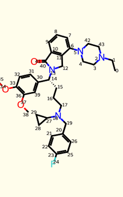 CCN1CCN(c2cccc3c2CN([C@H](CCCN(Cc2ccc(F)cc2)C2CC2)c2ccc(OC)c(OC)c2)C3=O)CC1